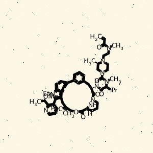 C=CC(=O)N(C)CCN1CCN(C(=O)N(C)C(C(=O)N[C@H]2Cc3cccc(c3)-c3ccc4c(c3)c(c(-c3cccnc3[C@H](C)OC)n4CC)CC(C)(C)COC(=O)[C@@H]3CCCN(N3)C2=O)C(C)C)C[C@H]1C